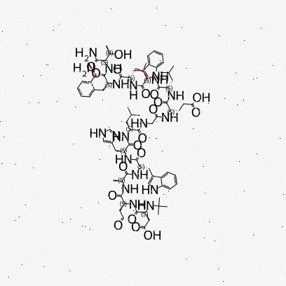 CC(C)C[C@H](NC(=O)[C@H](Cc1c[nH]cn1)NC(=O)[C@H](Cc1c[nH]c2ccccc12)NC(=O)[C@H](C)NC(=O)[C@H](CC=O)NC(=O)[C@H](CC(=O)O)NC(C)(C)C)C(=O)NCC(=O)N[C@@H](CCC(=O)O)C(=O)N[C@@H](CC(C)C)C(=O)N[C@H](C(=O)N[C@@H](Cc1c[nH]c2ccccc12)C(=O)N[C@@H](Cc1ccccc1CN)C(=O)N[C@H](C(N)=O)[C@@H](C)O)C(C)C